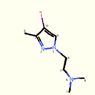 Cc1nn(CCN(C)C)cc1I